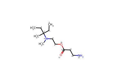 CCC(C)(CC)N(C)CCOC(=O)CCN